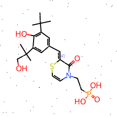 CC(C)(C)c1cc(/C=C2\SC=CN(CCP(=O)(O)O)C2=O)cc(C(C)(C)CO)c1O